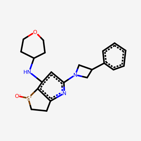 [O-][S+]1CCc2nc(N3CC(c4ccccc4)C3)cc(NC3CCOCC3)c21